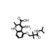 CC(C)NC(=O)C(C)(C)COc1cccc2c1C(N)=C(C(=O)O)C(C)N2